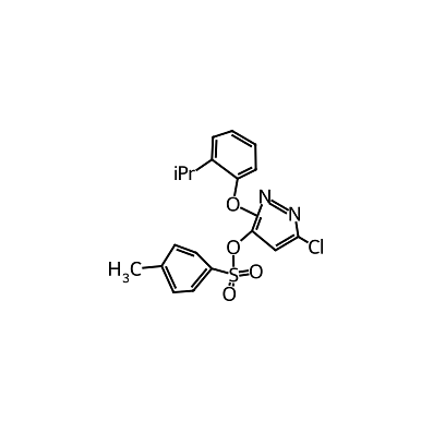 Cc1ccc(S(=O)(=O)Oc2cc(Cl)nnc2Oc2ccccc2C(C)C)cc1